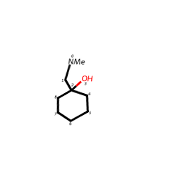 CNCC1(O)CCCCC1